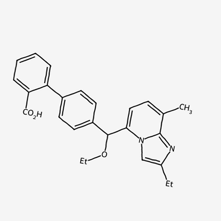 CCOC(c1ccc(-c2ccccc2C(=O)O)cc1)c1ccc(C)c2nc(CC)cn12